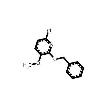 COc1ccc(Cl)nc1OCc1ccccc1